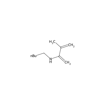 C=C(C)C(=C)NCCCCC